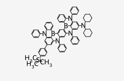 C[Si](C)(C)c1ccc(-c2cc3c4c(c2)N(c2ccccc2)c2cc5c(cc2B4c2ccccc2N3c2ccccc2)B2c3ccccc3N(c3ccccc3)c3cc(N(C4CCCCC4)C4CCCCC4)cc(c32)N5c2ccccc2)cc1